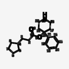 O=C(CCC1CCCC1)OC1(c2ccccc2)CCNCC1